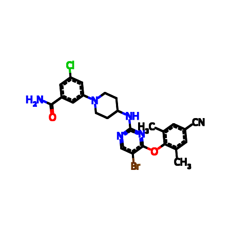 Cc1cc(C#N)cc(C)c1Oc1nc(NC2CCN(c3cc(Cl)cc(C(N)=O)c3)CC2)ncc1Br